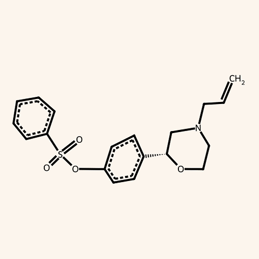 C=CCN1CCO[C@H](c2ccc(OS(=O)(=O)c3ccccc3)cc2)C1